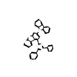 c1ccc(-c2nc(-c3ccccc3)nc(-c3cc(-n4c5ccccc5c5ccccc54)cc4oc5ncccc5c34)n2)cc1